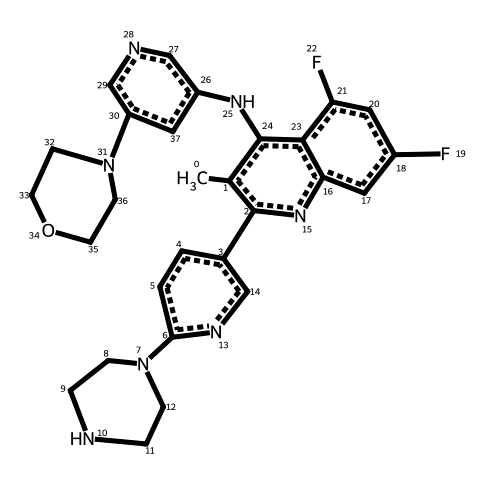 Cc1c(-c2ccc(N3CCNCC3)nc2)nc2cc(F)cc(F)c2c1Nc1cncc(N2CCOCC2)c1